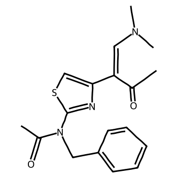 CC(=O)C(=CN(C)C)c1csc(N(Cc2ccccc2)C(C)=O)n1